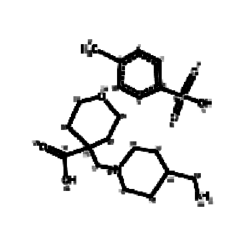 Cc1ccc(S(=O)(=O)O)cc1.NCC1CCN(CC2(C(=O)O)CCOCC2)CC1